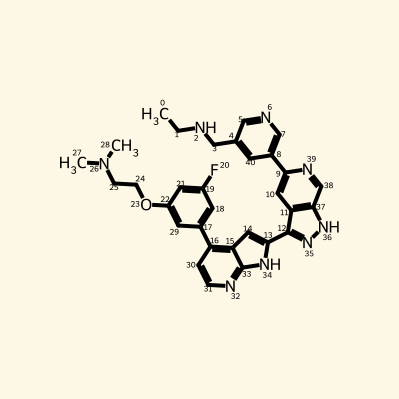 CCNCc1cncc(-c2cc3c(-c4cc5c(-c6cc(F)cc(OCCN(C)C)c6)ccnc5[nH]4)n[nH]c3cn2)c1